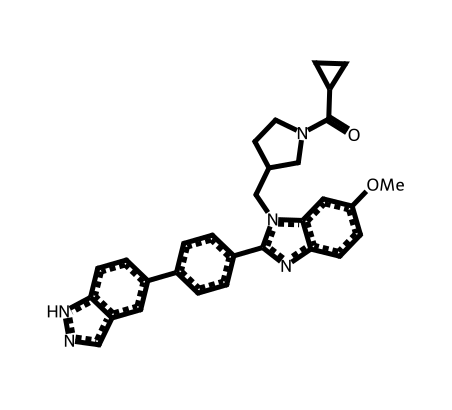 COc1ccc2nc(-c3ccc(-c4ccc5[nH]ncc5c4)cc3)n(CC3CCN(C(=O)C4CC4)C3)c2c1